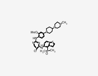 COc1cc(N2CCC(N3CCN(C)CC3)CC2)ccc1Nc1ncc(Cl)c(Nc2ccc3sccc3c2P(C)(C)=O)n1